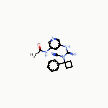 CC(=O)Nc1cncc(NC(=N)N(C#N)C2(c3ccccc3)CCC2)c1